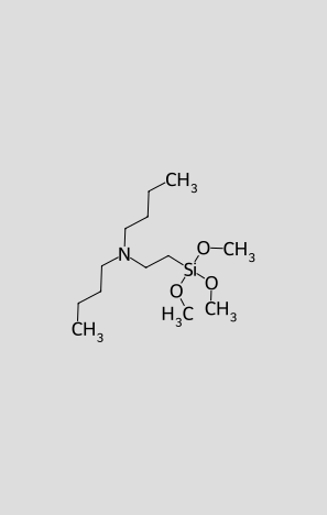 CCCCN(CCCC)CC[Si](OC)(OC)OC